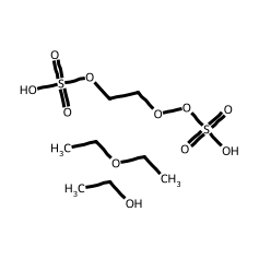 CCO.CCOCC.O=S(=O)(O)OCCOOS(=O)(=O)O